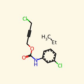 CCC.O=C(Nc1cccc(Cl)c1)OCC#CCCl